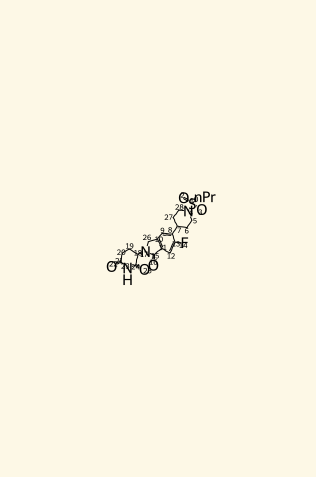 CCCS(=O)(=O)N1CCC(c2cc3c(cc2F)C(=O)N(C2CCC(=O)NC2=O)C3)CC1